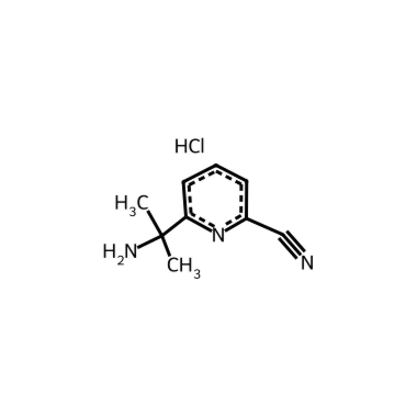 CC(C)(N)c1cccc(C#N)n1.Cl